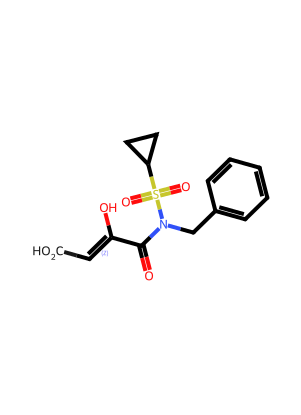 O=C(O)/C=C(\O)C(=O)N(Cc1ccccc1)S(=O)(=O)C1CC1